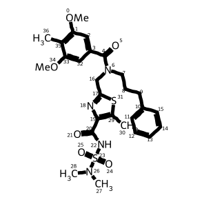 COc1cc(C(=O)N(CCCc2ccccc2)Cc2nc(C(=O)NS(=O)(=O)N(C)C)c(C)s2)cc(OC)c1C